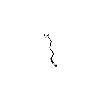 N=NCCCN